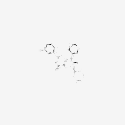 O=C(NC1CCOCC1)[C@H](c1cncnc1)N(CCc1cccc(F)c1)C(=O)[C@H](F)Cl